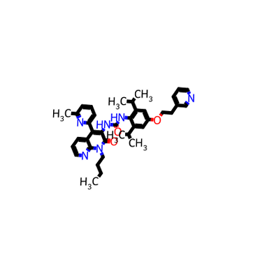 CCCCn1c(=O)c(NC(=O)Nc2c(C(C)C)cc(OCCc3cccnc3)cc2C(C)C)c(-c2cccc(C)n2)c2cccnc21